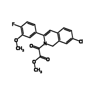 COC(=O)C(=O)N1Cc2cc(Cl)ccc2C=C1c1ccc(F)c(OC)c1